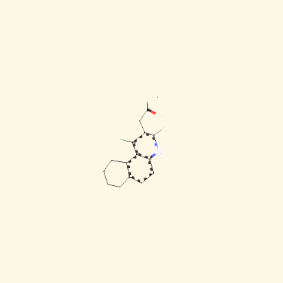 COC(=O)Cc1c(C)nc2ccc3c(c2c1Cl)CCCC3